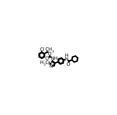 C[C@@H](OC(=O)Nc1c(-c2ccc(NC(=O)C3CCCCC3)cc2)cnn1C)c1ccccc1Cl